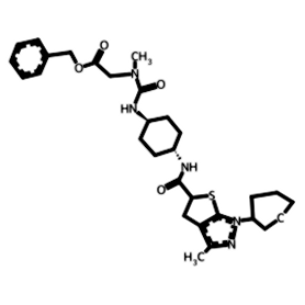 Cc1nn(C2CCCCC2)c2c1CC(C(=O)N[C@H]1CC[C@H](NC(=O)N(C)CC(=O)OCc3ccccc3)CC1)S2